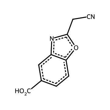 N#CCc1nc2cc(C(=O)O)ccc2o1